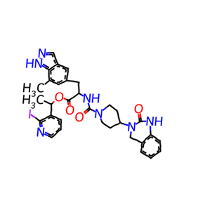 Cc1cc(CC(NC(=O)N2CCC(N3Cc4ccccc4NC3=O)CC2)C(=O)OC(C)c2cccnc2I)cc2cn[nH]c12